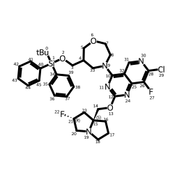 CC(C)(C)[Si](OCC1COCCN(c2nc(OC[C@@]34CCCN3C[C@H](F)C4)nc3c(F)c(Cl)ncc23)C1)(c1ccccc1)c1ccccc1